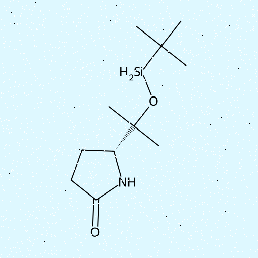 CC(C)(C)[SiH2]OC(C)(C)[C@H]1CCC(=O)N1